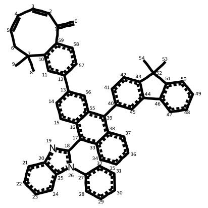 C=C1/C=C\C=C/CC(C)(C)c2cc(-c3ccc4c(-c5nc6ccccc6n5-c5ccccc5)c5ccccc5c(-c5ccc6c(c5)-c5ccccc5C6(C)C)c4c3)ccc21